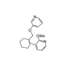 COc1ncccc1C1=C(COc2cccnc2)CCCC1